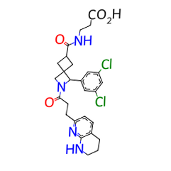 O=C(O)CCNC(=O)C1CC2(C1)CN(C(=O)CCc1ccc3c(n1)NCCC3)C2c1cc(Cl)cc(Cl)c1